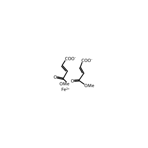 COC(=O)C=CC(=O)[O-].COC(=O)C=CC(=O)[O-].[Fe+2]